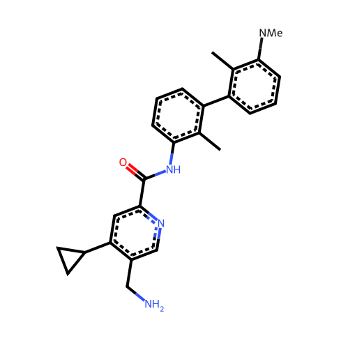 CNc1cccc(-c2cccc(NC(=O)c3cc(C4CC4)c(CN)cn3)c2C)c1C